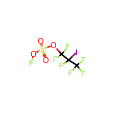 O=S(=O)(OF)OC(F)(F)C(F)(I)C(F)(F)F